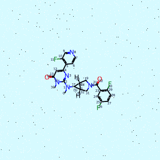 CN(c1nc(-c2ccncc2F)cc(=O)n1C)[C@H]1[C@@H]2CN(C(=O)c3cc(F)ccc3F)C[C@@H]21